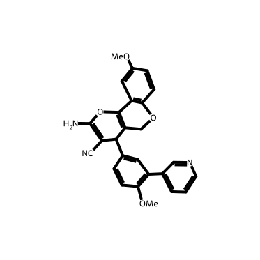 COc1ccc2c(c1)C1=C(CO2)C(c2ccc(OC)c(-c3cccnc3)c2)C(C#N)=C(N)O1